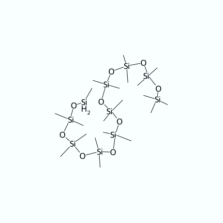 C[SiH2]O[Si](C)(C)O[Si](C)(C)O[Si](C)(C)O[Si](C)(C)O[Si](C)(C)O[Si](C)(C)O[Si](C)(C)O[Si](C)(C)O[Si](C)(C)C